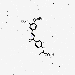 CCCCOc1ccc(/C=C/C(=O)c2ccc(OC(C)C(=O)O)cc2)cc1OC